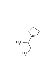 [CH2]CC(C)C1=CCCC1